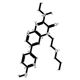 CCCOCCn1c(=O)c(N(C)CC)nc2ncc(-c3ccc(OC)nc3)cc21